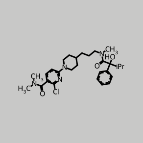 CC(C)C(O)(C(=O)N(C)CCCC1CCN(c2ccc(C(=O)N(C)C)c(Cl)n2)CC1)c1ccccc1